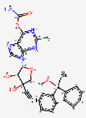 C#C[C@@]1(O)[C@@H](CO[Si](c2ccccc2)(c2ccccc2)C(C)(C)C)O[C@@H](n2cnc3c(OC(N)=O)nc(Cl)nc32)[C@@H]1O